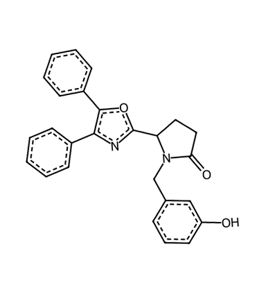 O=C1CCC(c2nc(-c3ccccc3)c(-c3ccccc3)o2)N1Cc1cccc(O)c1